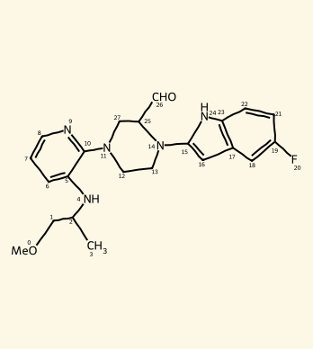 COCC(C)Nc1cccnc1N1CCN(c2cc3cc(F)ccc3[nH]2)C(C=O)C1